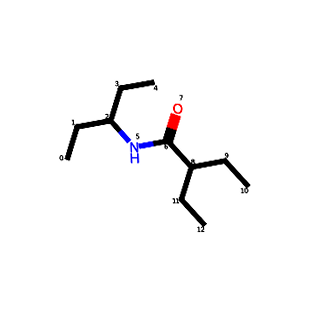 CCC(CC)NC(=O)C(CC)CC